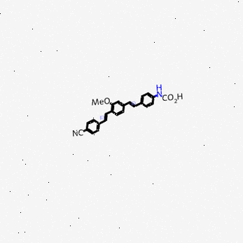 COc1cc(/C=C/c2ccc(NC(=O)O)cc2)ccc1/C=C/c1ccc(C#N)cc1